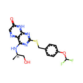 C[C@H](CO)Nc1nc(SCc2ccc(OC(F)F)cc2)nc2[nH]c(=O)cnc12